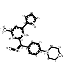 O=S=C(c1ccc(N2CCOCC2)cc1)c1nc(-c2cccs2)cc(C(F)(F)F)n1